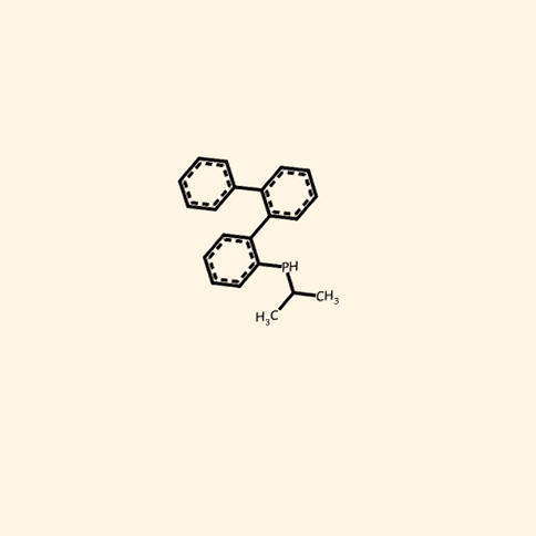 CC(C)Pc1ccccc1-c1ccccc1-c1ccccc1